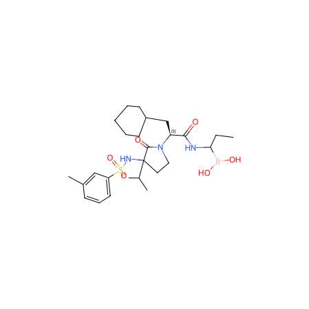 CCC(NC(=O)[C@H](CC1CCCCC1)N1CCC(NS(=O)(=O)c2cccc(C)c2)(C(C)C)C1=O)B(O)O